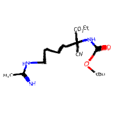 CCOC(=O)C(C#N)(CCCCNC(C)=N)NC(=O)OC(C)(C)C